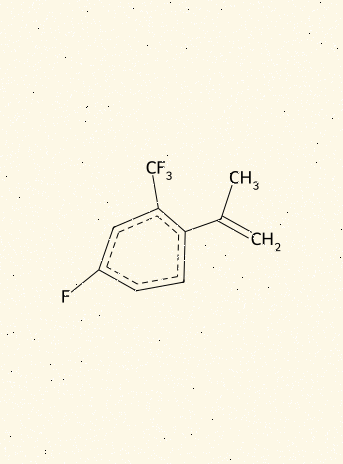 C=C(C)c1ccc(F)cc1C(F)(F)F